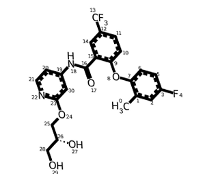 Cc1cc(F)ccc1Oc1ccc(C(F)(F)F)cc1C(=O)Nc1ccnc(OC[C@H](O)CO)c1